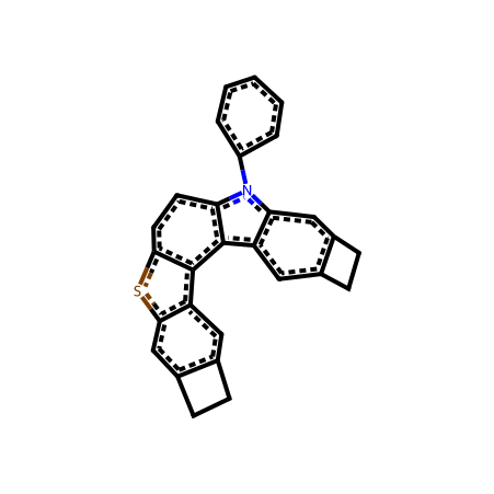 c1ccc(-n2c3cc4c(cc3c3c5c(ccc32)sc2cc3c(cc25)CC3)CC4)cc1